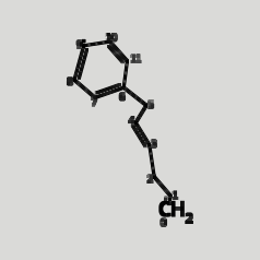 C=CCC=CCc1cc[c]cc1